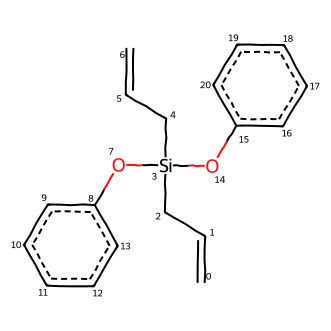 C=CC[Si](CC=C)(Oc1ccccc1)Oc1ccccc1